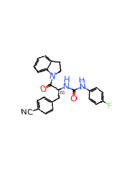 N#Cc1ccc(C[C@H](NC(=O)Nc2ccc(F)cc2)C(=O)N2CCc3ccccc32)cc1